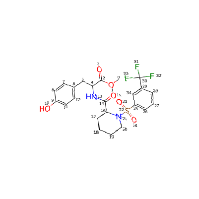 COC(=O)C(Cc1ccc(O)cc1)NC(=O)C1CCCCN1S(=O)(=O)c1cccc(C(F)(F)F)c1